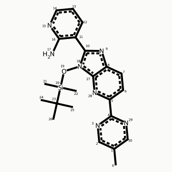 Cc1cnc(-c2ccc3nc(-c4cccnc4N)n(O[Si](C)(C)C(C)(C)C)c3n2)nc1